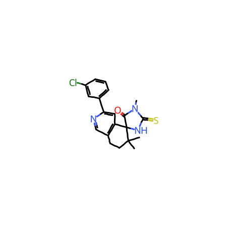 CN1C(=O)C2(NC1=S)c1cc(-c3cccc(Cl)c3)ncc1CCC2(C)C